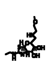 CCNC1=N[C@@H]2C(O)[C@H](O)C(CNCCOC)O[C@@H]2S1